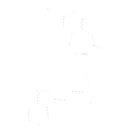 COc1ccc2c(c1)CCN(CCCN(C)CCc1c[nH]c3ccccc13)C(=O)C2